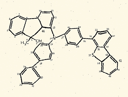 CC1(C)c2ccccc2C2C=CC=C(N(c3ccc(-c4ccccc4)cc3)c3ccc(-c4cccc5c4sc4ccccc45)cc3)C21